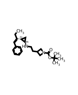 CCC(=Cc1ccccc1)[C@@H]1C[C@H]1NCCC1CN(C(=O)OC(C)(C)C)C1